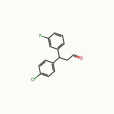 O=CCC(c1ccc(Cl)cc1)c1cccc(F)c1